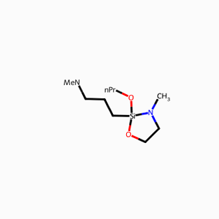 CCCO[Si]1(CCCNC)OCCN1C